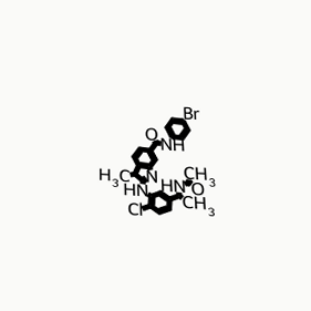 CC(=O)NC(C)c1ccc(Cl)c(NC2=Nc3cc(C(=O)Nc4ccc(Br)cc4)ccc3C2C)c1